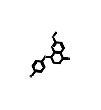 COc1ccc2c(n1)C(Oc1ccc(Cl)cc1)CCC2=O